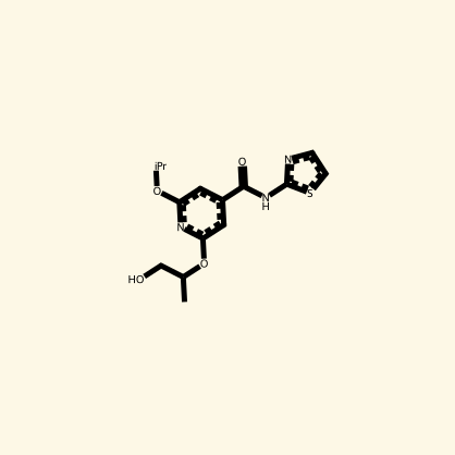 CC(C)Oc1cc(C(=O)Nc2nccs2)cc(OC(C)CO)n1